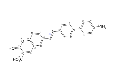 Nc1ccc(-c2ccc(/C=C/c3ccc4oc(=O)c(C(=O)O)cc4c3)cc2)cc1